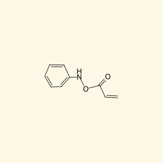 C=CC(=O)ONc1ccccc1